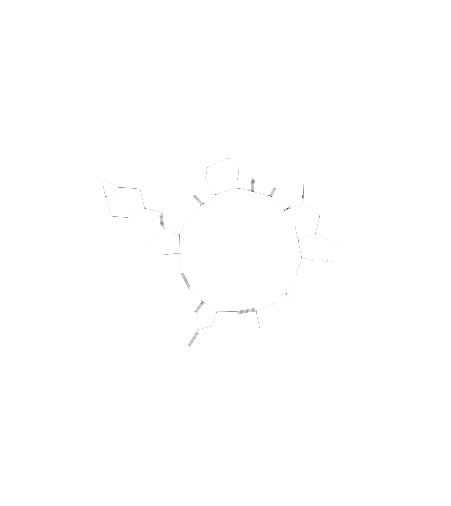 C=CCC1/C=C(/C)CC(C)CC(OC)C2OC(O)(C(=O)C(=O)N3CCCCC3C(=O)OC(/C(C)=C/C3CCC4OC4C3)C(C)/C=C\C1=O)C(C)CC2OC